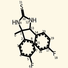 CC1(c2ccc(F)cc2)NC(=S)NC1c1ccc(F)cc1